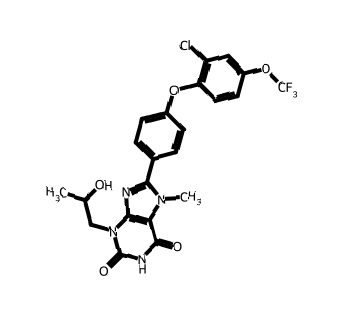 CC(O)Cn1c(=O)[nH]c(=O)c2c1nc(-c1ccc(Oc3ccc(OC(F)(F)F)cc3Cl)cc1)n2C